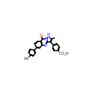 Cc1[nH]n2c(=O)c3ccc(-c4ccc(C#N)cc4)cc3nc2c1-c1ccc(C(=O)O)cc1